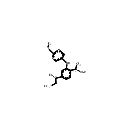 CCOc1ncc(Nc2cc([C@@H](CC)CC(=O)O)ccc2[C@H](OC)C(F)(F)F)cn1